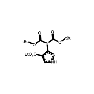 CCOC(=O)c1c[nH]nc1N(C(=O)OC(C)(C)C)C(=O)OC(C)(C)C